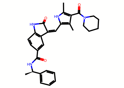 Cc1[nH]c(C=C2C(=O)Nc3ccc(C(=O)N[C@H](C)c4ccccc4)cc32)c(C)c1C(=O)N1CCCCC1